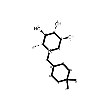 C[C@@H]1[C@@H](O)[C@H](O)[C@@H](O)CN1CC1CCC(C)(C)CC1